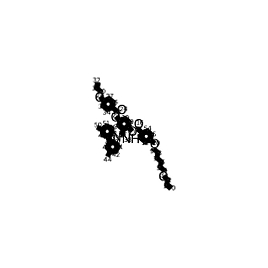 C=CCOCCCCCCOc1ccc(C(=O)Oc2ccc(OC(=O)c3ccc(OCC=C)cc3)cc2C(=N)n2c3ccc(C)cc3c3cc(C)ccc32)cc1